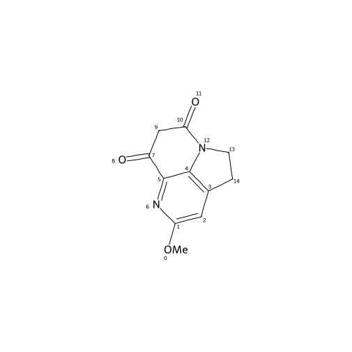 COc1cc2c3c(n1)C(=O)CC(=O)N3CC2